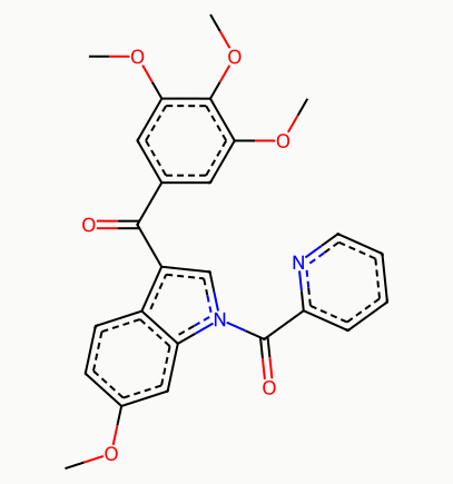 COc1ccc2c(C(=O)c3cc(OC)c(OC)c(OC)c3)cn(C(=O)c3ccccn3)c2c1